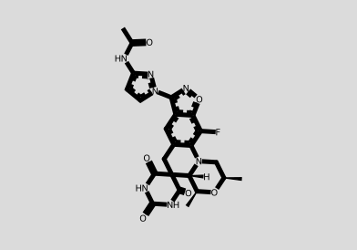 CC(=O)Nc1ccn(-c2noc3c(F)c4c(cc23)CC2(C(=O)NC(=O)NC2=O)[C@H]2[C@H](C)O[C@H](C)CN42)n1